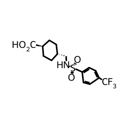 O=C(O)[C@H]1CC[C@H](CNS(=O)(=O)c2ccc(C(F)(F)F)cc2)CC1